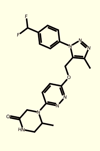 Cc1nnn(-c2ccc(C(F)F)cc2)c1COc1ccc(N2CC(=O)NCC2C)nn1